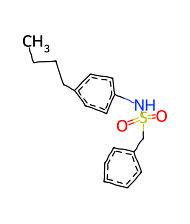 CCCCc1ccc(NS(=O)(=O)Cc2ccccc2)cc1